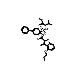 CCCOc1cccc2oc(C(=O)NC3(S(=O)(=O)N[C@H](C(=O)OC)C(C)C)C=CC(c4ccccc4)=CC3)c(C)c12